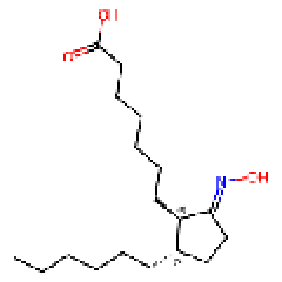 CCCCCC[C@H]1CCC(=NO)[C@@H]1CCCCCCC(=O)O